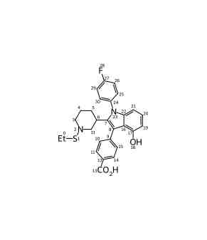 CCSN1CCCC(c2c(-c3ccc(C(=O)O)cc3)c3c(O)cccc3n2-c2ccc(F)cc2)C1